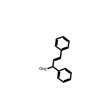 O=CC(C=Cc1ccccc1)c1ccccc1